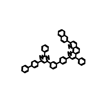 c1ccc(-c2ccc(-c3cc(-c4cccc(-c5ccc(-c6cc(-c7ccccc7)c7ccc8ccc(-c9ccc%10ccccc%10c9)nc8c7n6)cc5)c4)nc(-c4ccccc4)n3)cc2)cc1